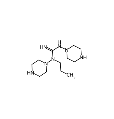 CCCN(C(=N)NN1CCNCC1)N1CCNCC1